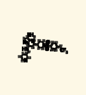 Bc1cnn2c(NCc3cccnc3)cc(C3CCN(S(=O)(=O)c4ccc(CC(F)(F)F)cc4)CC3)nc12